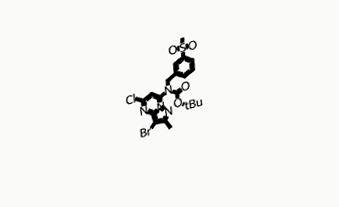 Cc1nn2c(N(Cc3cccc(S(C)(=O)=O)c3)C(=O)OC(C)(C)C)cc(Cl)nc2c1Br